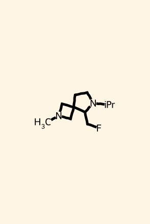 CC(C)N1CCC2(CN(C)C2)C1CF